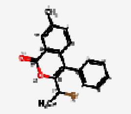 Cc1ccc2c(-c3ccccc3)c(C(C)Br)oc(=O)c2c1